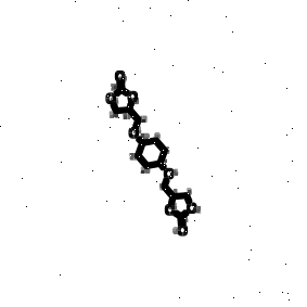 O=C1OCC(COC2CCC(OCC3COC(=O)O3)CC2)O1